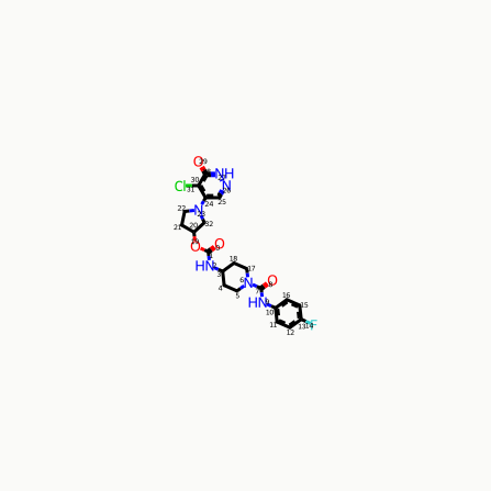 O=C(NC1CCN(C(=O)Nc2ccc(F)cc2)CC1)OC1CCN(c2cn[nH]c(=O)c2Cl)C1